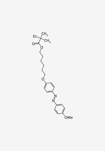 CCC(C)(C)C(=O)OCCCCCCOc1ccc(N=Nc2ccc(OC)cc2)cc1